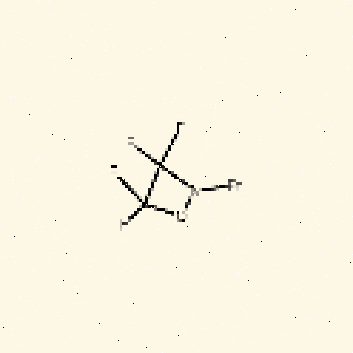 CCN1OC(F)(F)C1(F)F